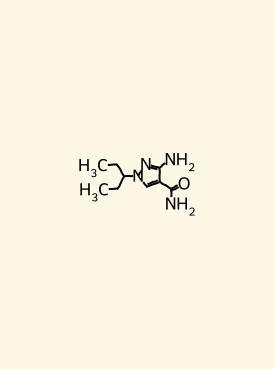 CCC(CC)n1cc(C(N)=O)c(N)n1